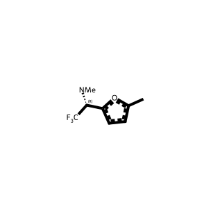 CN[C@H](c1ccc(C)o1)C(F)(F)F